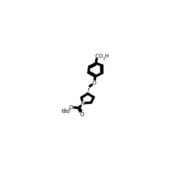 CC(C)(C)OC(=O)N1CC[C@@H](COc2ccc(C(=O)O)cc2)C1